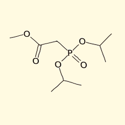 COC(=O)CP(=O)(OC(C)C)OC(C)C